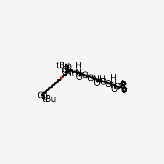 CC(C)(C)OC(=O)CCCCCCCCCCCCCCCCC(=O)NC(CCCCNC(=O)CCOCCOCCNC(=O)CCOCCOCCNC(=O)OCC1c2ccccc2-c2ccccc21)C(=O)OC(C)(C)C